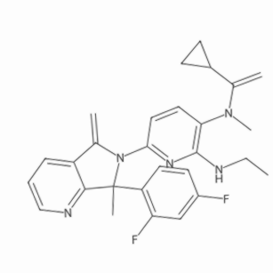 C=C(C1CC1)N(C)c1ccc(N2C(=C)c3cccnc3C2(C)c2ccc(F)cc2F)nc1NCC